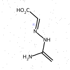 C=C(N)N/N=C/C(=O)O